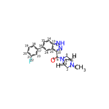 CN1C[C@@H]2C[C@H]1CN2C(=O)c1n[nH]c2ccc(-c3cccc(F)c3)cc12